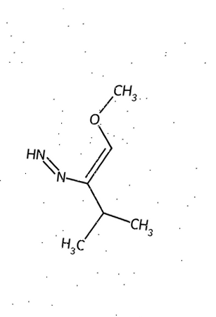 CO/C=C(\N=N)C(C)C